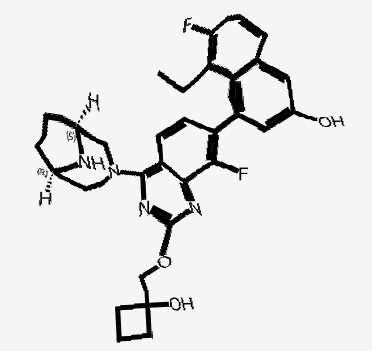 CCc1c(F)ccc2cc(O)cc(-c3ccc4c(N5C[C@H]6CC[C@@H](C5)N6)nc(OCC5(O)CCC5)nc4c3F)c12